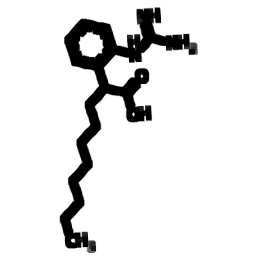 CCCCCCCCC(C(=O)O)c1ccccc1NC(=N)N